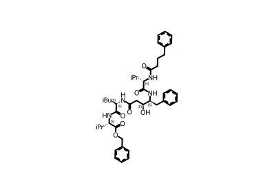 CC[C@H](C)[C@H](NC(=O)C[C@H](O)[C@H](Cc1ccccc1)NC(=O)[C@@H](NC(=O)CCCc1ccccc1)C(C)C)C(=O)N[C@H](C(=O)OCc1ccccc1)C(C)C